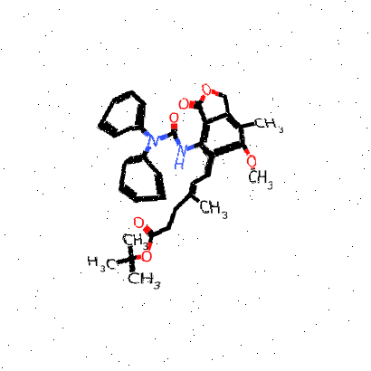 COc1c(C)c2c(c(NC(=O)N(c3ccccc3)c3ccccc3)c1C/C=C(\C)CCC(=O)OC(C)(C)C)C(=O)OC2